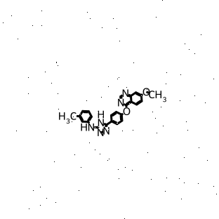 COc1ccc2c(Oc3ccc(-c4nnc(Nc5cccc(C)c5)[nH]4)cc3)ncnc2c1